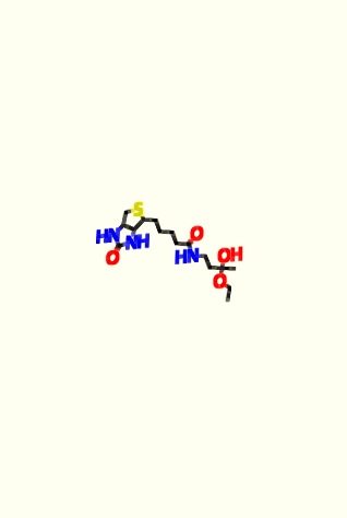 CCOC(C)(O)CCNC(=O)CCCCC1SCC2NC(=O)NC21